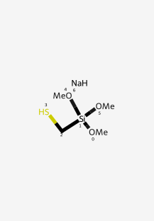 CO[Si](CS)(OC)OC.[NaH]